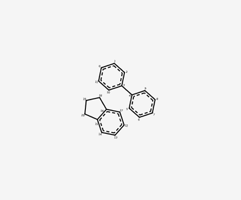 c1ccc(-c2ccccc2)cc1.c1ccc2c(c1)CCC2